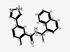 Cc1ccc(-c2cn[nH]c2)cc1C(=O)N[C@H](C)c1cccc2ccccc12